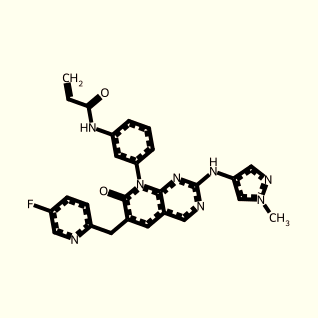 C=CC(=O)Nc1cccc(-n2c(=O)c(Cc3ccc(F)cn3)cc3cnc(Nc4cnn(C)c4)nc32)c1